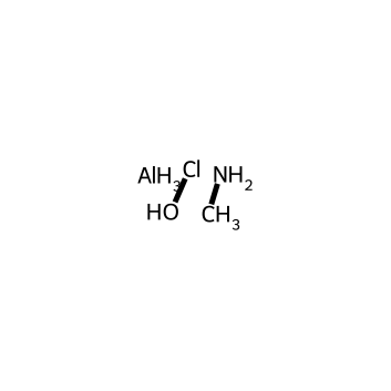 CN.OCl.[AlH3]